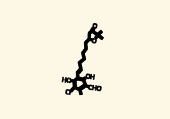 Cc1c(Cl)c(O)c(C=CCCCCCC2CC(=O)C(C)(C)O2)c(O)c1C=O